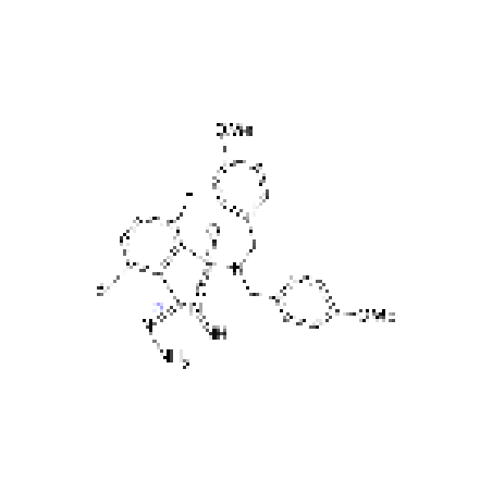 COc1ccc(CN(Cc2ccc(OC)cc2)S(=O)(=O)c2c(F)ccc(Br)c2/C(N=N)=N/N)cc1